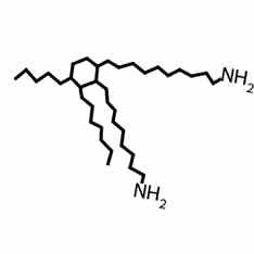 CCCCCCCC1C(CCCCC)CCC(CCCCCCCCCCN)C1CCCCCCCCCN